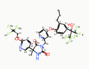 CCCc1cc(C(O)(C(F)(F)F)C(F)(F)F)ccc1Oc1ccnc(CN2C(=O)NC(C)(c3ccc(OCC(F)(F)F)nc3)C2=O)c1